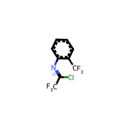 FC(F)(F)/C(Cl)=N/c1ccccc1C(F)(F)F